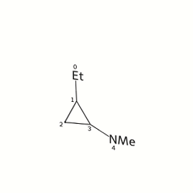 CCC1CC1NC